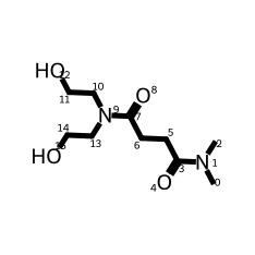 CN(C)C(=O)CCC(=O)N(CCO)CCO